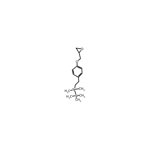 C[Si](C)(C)[Si](C)(C)CCc1ccc(OCC2CO2)cc1